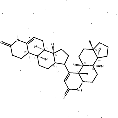 C[C@@]12CCC[C@H]1[C@@H]1CCC3NC(=O)C=C(C4CC[C@H]5[C@@H]6CC=C7NC(=O)CC[C@]7(C)[C@@H]6CC[C@]45C)[C@]3(C)[C@@H]1CC2